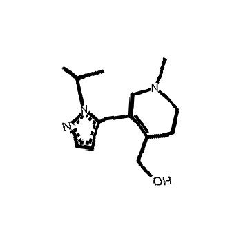 CC(C)n1nccc1C1=C(CO)CCN(C)C1